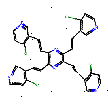 Clc1ccncc1C=Cc1nc(C=Cc2cnccc2Cl)c(C=Cc2cnccc2Cl)nc1C=Cc1cnccc1Cl